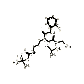 CCOC(=O)[C@H](CC(C)C)N(CCCNC(=O)OC(C)(C)C)C(=O)Cc1ccccc1Cl